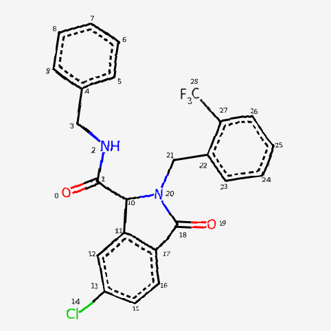 O=C(NCc1ccccc1)C1c2cc(Cl)ccc2C(=O)N1Cc1ccccc1C(F)(F)F